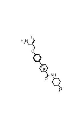 CO[C@H]1CC[C@H](NC(=O)C23CCC(c4ccc(OC/C(=C/F)CN)cc4)(CC2)CC3)CC1